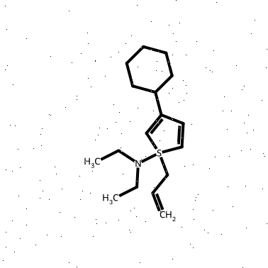 C=CCS1(N(CC)CC)C=CC(C2CCCCC2)=C1